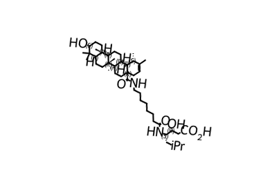 CC1=CC[C@]2(C(=O)NCCCCCCCC(=O)N[C@@H](CC(C)C)[C@H](O)CC(=O)O)CC[C@]3(C)[C@H](CC[C@@H]4[C@@]5(C)CC[C@H](O)C(C)(C)[C@@H]5CC[C@]43C)[C@H]2[C@@H]1C